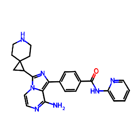 Nc1nccn2c(C3CC34CCNCC4)nc(-c3ccc(C(=O)Nc4ccccn4)cc3)c12